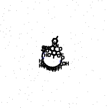 C/C1=C/C=C/[C@H](C)[C@H](O)[C@@H](C)[C@@H](O)[C@@H](C)[C@H](C)[C@H](C)[C@@H](CO)/C=C/O[C@@]2(C)Oc3c(C)c(O)c4c(O)c(c5c(nc6cc(C)ccn65)c4c3C2=O)NC1=O